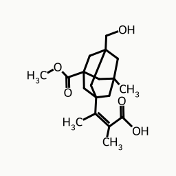 COC(=O)C12CC3(C)CC(CO)(C1)CC(C(C)=C(C)C(=O)O)(C3)C2